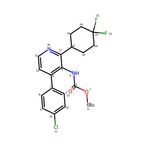 CC(C)(C)OC(=O)Nc1c(-c2ccc(Cl)cc2)ccnc1C1CCC(F)(F)CC1